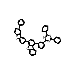 c1ccc(-c2ccc3sc4ccc(-c5ccc(-c6cccc(-c7nc(-c8ccccc8)nc(-c8ccccc8)n7)c6)c6c5oc5ccccc56)cc4c3c2)cc1